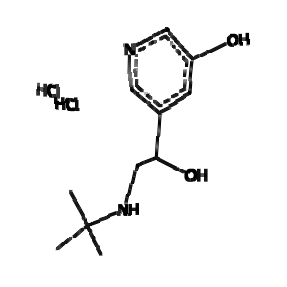 CC(C)(C)NCC(O)c1cncc(O)c1.Cl.Cl